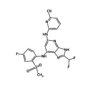 CS(=O)(=O)c1cc(F)ccc1Nc1cc(Nc2cccc(C#N)n2)nc2[nH]c(C(F)F)nc12